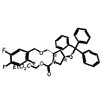 CCOC(=O)COC(=O)N1C[C@H](SC(c2ccccc2)(c2ccccc2)c2ccccc2)C[C@H]1COCc1cc(F)c(F)cc1F